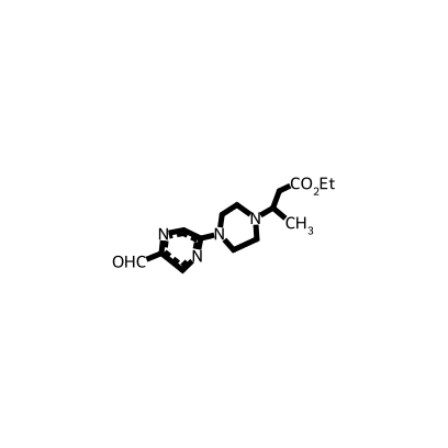 CCOC(=O)CC(C)N1CCN(c2cnc(C=O)cn2)CC1